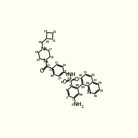 Nc1ccc(S(=O)(=O)Nc2ccc(C(=O)N3CCN(CC4CCC4)CC3)cc2)c(-c2cccc3cccnc23)c1